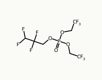 O=P(OCC(F)(F)F)(OCC(F)(F)F)OCC(F)(F)C(F)F